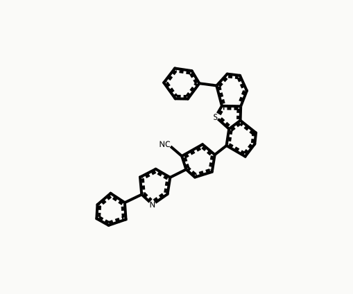 N#Cc1cc(-c2cccc3c2sc2c(-c4ccccc4)cccc23)ccc1-c1ccc(-c2ccccc2)nc1